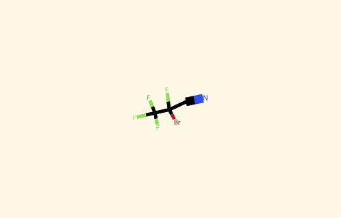 N#CC(F)(Br)C(F)(F)F